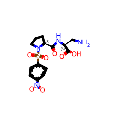 NC[C@H](NC(=O)[C@@H]1CCCN1S(=O)(=O)c1ccc([N+](=O)[O-])cc1)C(=O)O